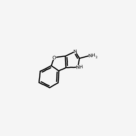 Nc1nc2oc3ccccc3c2[nH]1